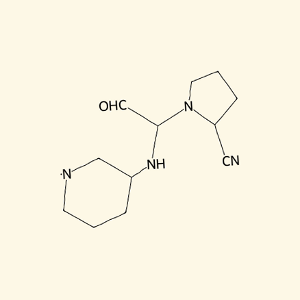 N#CC1CCCN1C(C=O)NC1CCC[N]C1